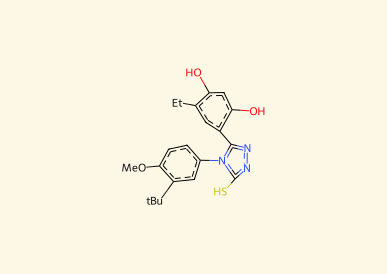 CCc1cc(-c2nnc(S)n2-c2ccc(OC)c(C(C)(C)C)c2)c(O)cc1O